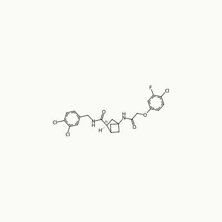 O=C(COc1ccc(Cl)c(F)c1)NC12CC(C1)[C@@H](C(=O)NCc1ccc(Cl)c(Cl)c1)C2